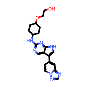 OCCOC1CCC(Nc2ncc3c(-c4ccn5ncnc5c4)c[nH]c3n2)CC1